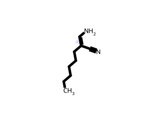 CCCCCC/C(C#N)=C/N